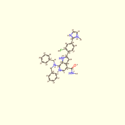 CNC(=O)c1cnc(N(Cc2ccccc2)Cc2ccccc2)c2[nH]c(-c3ccc(-c4nccn4C)cc3F)cc12